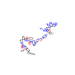 CCOc1cc(OC)ccc1CNCC(=O)N1CCCC(c2cccc(C(=O)N[C@@H](C(=O)N3CCN(CC4CCN(CC(=O)N5CCN(CC[C@H](NC(=O)C6(N)CCN(c7ncnc8[nH]ccc78)CC6)c6ccc(Cl)cc6)CC5)CC4)CC3)C3CCCCC3)c2)C1